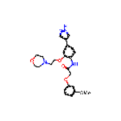 COc1cccc(OCC(=O)Nc2ccc(-c3cn[nH]c3)cc2OCCN2CCOCC2)c1